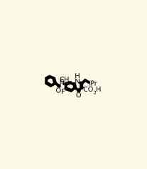 CC(C)Cc1[nH]c2cc(N(C)C(=O)c3ccccc3)c(F)cc2c(=O)c1C(=O)O